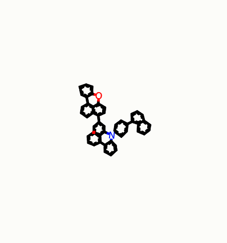 c1ccc(-c2ccccc2N(c2ccc(-c3cccc4ccccc34)cc2)c2cccc(-c3ccc4c5c(cccc35)-c3ccccc3O4)c2)cc1